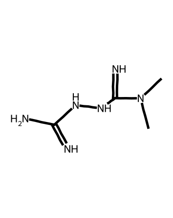 CN(C)C(=N)NNC(=N)N